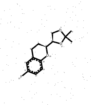 CC1(C)OC[C@H]([C@@H]2CCc3cc(F)ccc3O2)O1